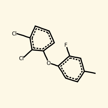 Cc1ccc(Oc2cccc(Cl)c2Cl)c(F)c1